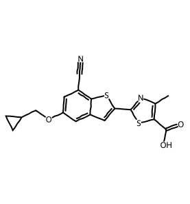 Cc1nc(-c2cc3cc(OCC4CC4)cc(C#N)c3s2)sc1C(=O)O